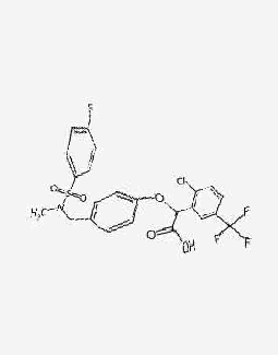 CN(Cc1ccc(OC(C(=O)O)c2cc(C(F)(F)F)ccc2Cl)cc1)S(=O)(=O)c1ccc(F)cc1